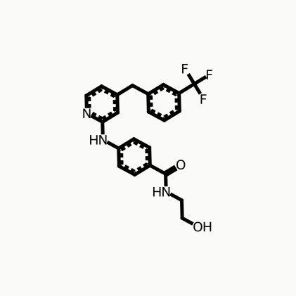 O=C(NCCO)c1ccc(Nc2cc(Cc3cccc(C(F)(F)F)c3)ccn2)cc1